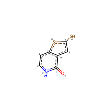 O=c1[nH]ccc2sc(S)cc12